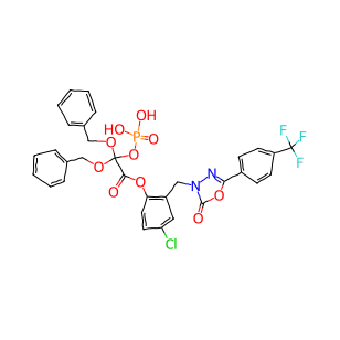 O=C(Oc1ccc(Cl)cc1Cn1nc(-c2ccc(C(F)(F)F)cc2)oc1=O)C(OCc1ccccc1)(OCc1ccccc1)OP(=O)(O)O